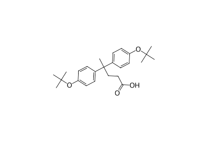 CC(C)(C)Oc1ccc(C(C)(CCC(=O)O)c2ccc(OC(C)(C)C)cc2)cc1